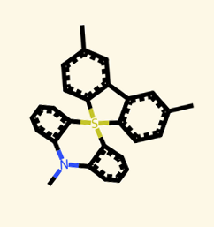 Cc1ccc2c(c1)-c1cc(C)ccc1S21c2ccccc2N(C)c2ccccc21